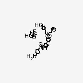 NCC1CCC(CNC(=O)c2cccc(-c3cccc(CN(CCc4ccc(O)cc4)C(=O)C=Cc4ccco4)c3)c2)CC1.O=C(O)C(F)(F)F